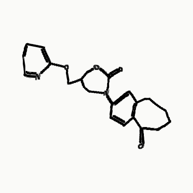 O=C1CCCCc2cc(N3CC(COc4ccccn4)OC3=O)ccc21